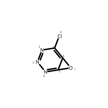 Clc1nnnc2c1O2